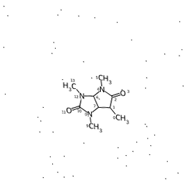 CC1C(=O)N(C)C2C1N(C)C(=O)N2C